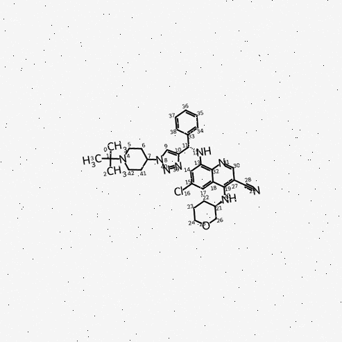 CC(C)(C)N1CCC(n2cc([C@@H](Nc3cc(Cl)cc4c(N[C@@H]5CCCOC5)c(C#N)cnc34)c3ccccc3)nn2)CC1